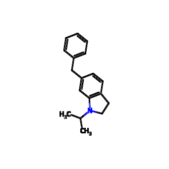 CC(C)N1CCc2ccc(Cc3ccccc3)cc21